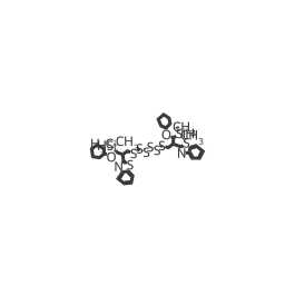 C[SiH](C)C(OC1CCCCC1)C(CSSSSSSCC(c1nc2ccccc2s1)C(OC1CCCCC1)[SiH](C)C)c1nc2ccccc2s1